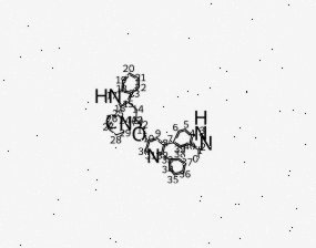 Cc1n[nH]c2ccc(-c3cc(OC[C@H](Cc4c[nH]c5ccccc45)N4CCCCC4)cnc3-c3ccccc3)cc12